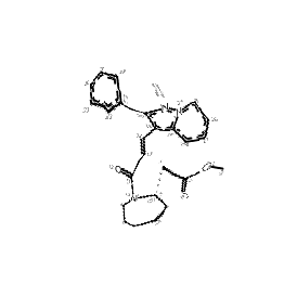 COC(=O)C[C@@H]1CCCCN1C(=O)C=Cc1c(-c2ccccc2)nn2ccccc12